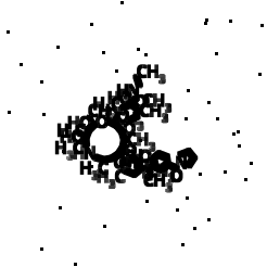 CCCNC[C@]1(O)[C@H](C)O[C@@H](O[C@H]2[C@H](C)[C@@H](O[C@@H]3O[C@H](C)C[C@H](N(C)C)[C@H]3Oc3ccc(C(=O)N4CCCC4)cc3)[C@](C)(O)C[C@@H](C)CN[C@H](C)[C@@H](O)[C@](C)(O)[C@@H](CC)OC(=O)[C@@H]2C)C[C@@]1(C)OC